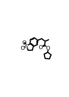 CC(Cc1ccc2c(c1)CCS2(=O)=O)C(=O)OC1CCCC1